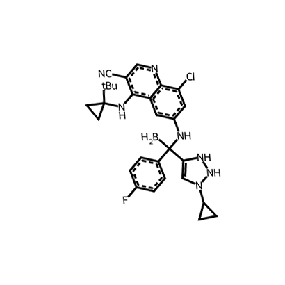 BC(Nc1cc(Cl)c2ncc(C#N)c(NC3(C(C)(C)C)CC3)c2c1)(C1=CN(C2CC2)NN1)c1ccc(F)cc1